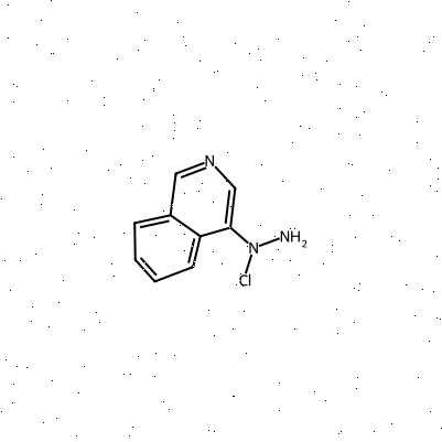 NN(Cl)c1cncc2ccccc12